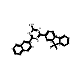 CC1(C)c2ccccc2-c2ccc(-c3nc(Cl)nc(-c4ccc5ccccc5c4)n3)cc21